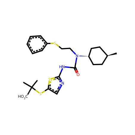 CC(C)(Sc1cnc(NC(=O)N(CCSc2ccccc2)[C@H]2CC[C@H](C)CC2)s1)C(=O)O